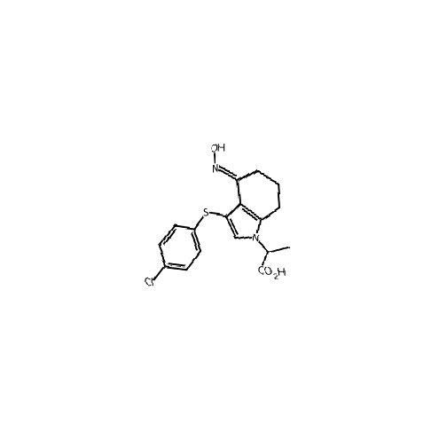 CC(C(=O)O)n1cc(Sc2ccc(Cl)cc2)c2c1CCCC2=NO